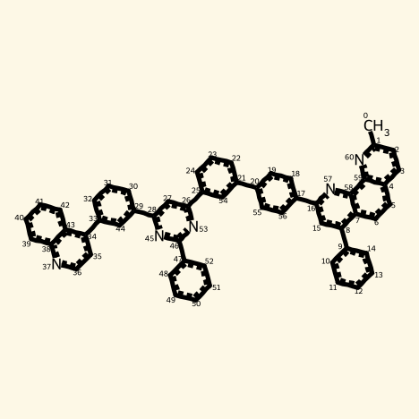 Cc1ccc2ccc3c(-c4ccccc4)cc(-c4ccc(-c5cccc(-c6cc(-c7cccc(-c8ccnc9ccccc89)c7)nc(-c7ccccc7)n6)c5)cc4)nc3c2n1